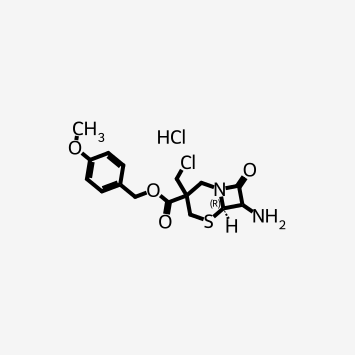 COc1ccc(COC(=O)C2(CCl)CS[C@@H]3C(N)C(=O)N3C2)cc1.Cl